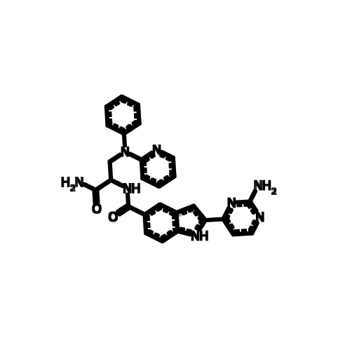 NC(=O)C(CN(c1ccccc1)c1ccccn1)NC(=O)c1ccc2[nH]c(-c3ccnc(N)n3)cc2c1